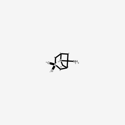 NC12CC3CS(=O)(=O)CC1CN32